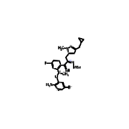 CN/N=C(/Cc1cc(CC2CC2)nn1C)C(=N)c1ccc(F)cc1[C@@H](C)Oc1cc(Br)cnc1N